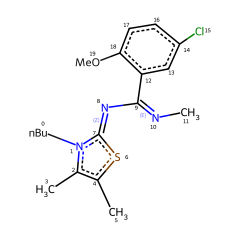 CCCCn1c(C)c(C)s/c1=N\C(=N\C)c1cc(Cl)ccc1OC